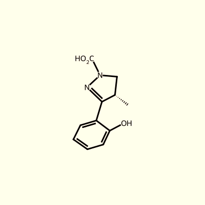 C[C@H]1CN(C(=O)O)N=C1c1ccccc1O